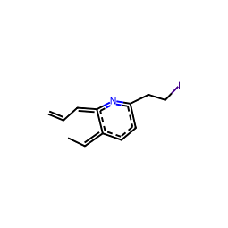 C=C/C=c1/nc(CCI)cc/c1=C/C